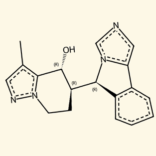 Cc1cnn2c1[C@H](O)[C@@H]([C@@H]1c3ccccc3-c3cncn31)CC2